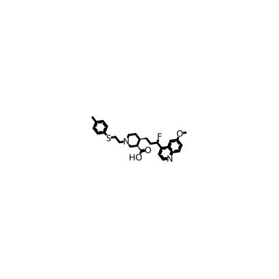 COc1ccc2nccc(C(F)CC[C@@H]3CCN(CCSc4ccc(C)cc4)C[C@@H]3C(=O)O)c2c1